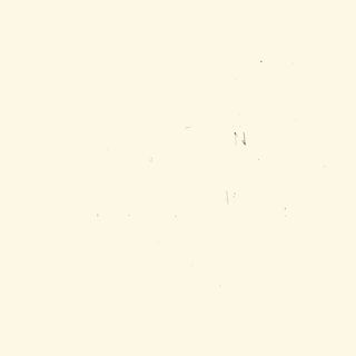 CC1(C)c2ccccc2B2c3c(ccc(-c4ccccc4)c31)-n1c3ccccc3c3cccc2c31